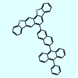 c1ccc(-c2c3ccccc3c(-c3ccc4cc(-c5cc6c7ccccc7oc6c6cc7sc8ccccc8c7cc56)ccc4c3)c3ccccc23)cc1